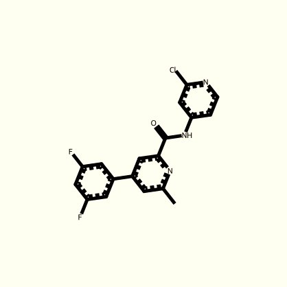 Cc1cc(-c2cc(F)cc(F)c2)cc(C(=O)Nc2ccnc(Cl)c2)n1